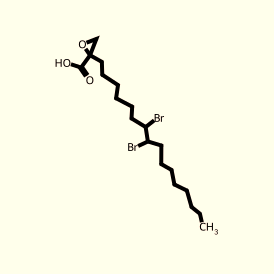 CCCCCCCCC(Br)C(Br)CCCCCCC1(C(=O)O)CO1